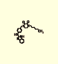 CCCCCCN1CCN(Cc2ccc(Nc3nc4ccccc4[nH]3)cc2)C(=O)C1=O